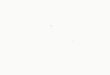 c1ccc(-c2nc(-c3ccccc3)nc(N3c4ccccc4-n4c5cc6oc7ccccc7c6cc5c5cccc3c54)n2)cc1